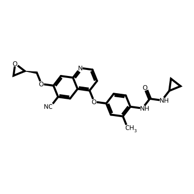 Cc1cc(Oc2ccnc3cc(OC[C@H]4CO4)c(C#N)cc23)ccc1NC(=O)NC1CC1